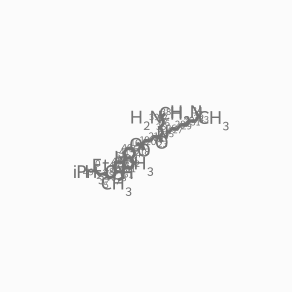 CC[C@H](CC[C@@H](C)[C@H]1CC[C@H]2[C@@H]3CC=C4C[C@@H](OC(=O)CCCC(=O)N(CCCCCCCC(C)N)CCC(C)N)CC[C@]4(C)[C@H]3CC[C@]12C)C(C)C